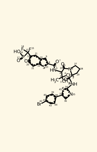 CC(C)(C)C(NC(=O)c1cc2cc(C(F)(F)P(=O)(O)O)ccc2s1)C(=O)N1CCC[C@H]1C(=O)Nc1ncc(-c2ccc(Br)cc2)s1